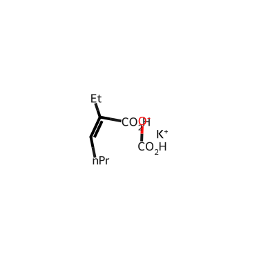 CCCC=C(CC)C(=O)O.O=C([O-])O.[K+]